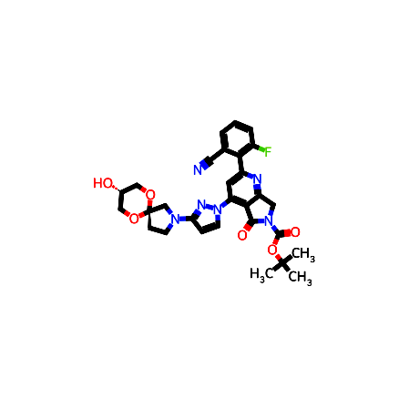 CC(C)(C)OC(=O)N1Cc2nc(-c3c(F)cccc3C#N)cc(-n3ccc(N4CC[C@]5(C4)OC[C@@H](O)CO5)n3)c2C1=O